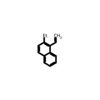 C=Cc1c(CC)ccc2ccccc12